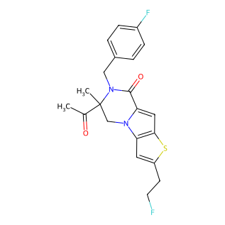 CC(=O)C1(C)Cn2c(cc3sc(CCF)cc32)C(=O)N1Cc1ccc(F)cc1